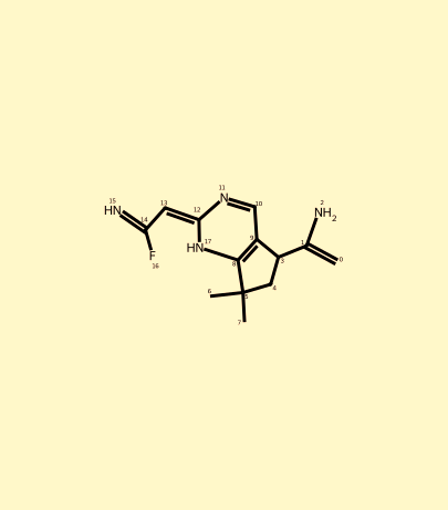 C=C(N)C1CC(C)(C)C2=C1C=N/C(=C/C(=N)F)N2